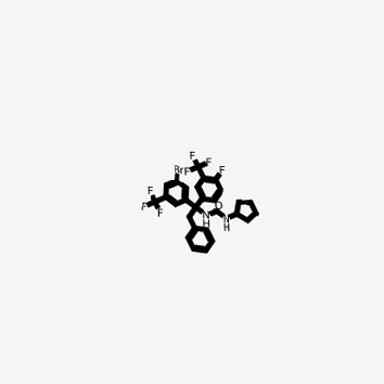 O=C(NC1CCCC1)NC(Cc1ccccc1)(c1cc(Br)cc(C(F)(F)F)c1)c1ccc(F)c(C(F)(F)F)c1